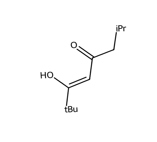 CC(C)CC(=O)/C=C(\O)C(C)(C)C